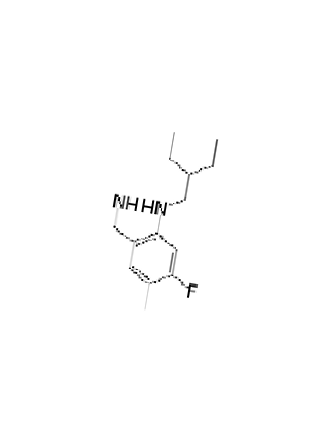 CCC(CC)CNc1cc(F)c(C)cc1C=N